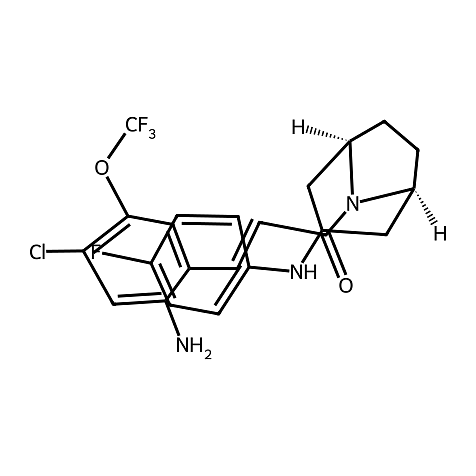 Nc1cc(Cl)c(OC(F)(F)F)cc1C=CC(=O)N1[C@@H]2CC[C@H]1CC(Nc1ccc(F)cc1)C2